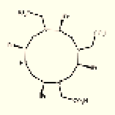 CC(C)[C@H]1CN[C@@H](C(C)C)CN(CC(=O)O)[C@@H](C(C)C)CN(CC(=O)O)[C@@H](C(C)C)CN1CC(=O)O